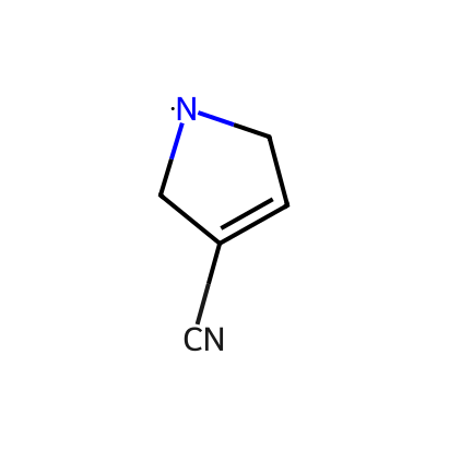 N#CC1=CC[N]C1